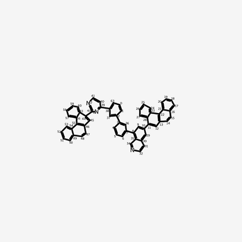 c1cc(-c2cccc(-c3cc(-c4cc5ccc6ccccc6c5c5ccccc45)cc4ccncc34)c2)cc(-c2ccnc(-c3cc4ccc5ccccc5c4c4ccccc34)n2)c1